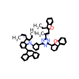 C=Cc1c(/C=C(\C)c2nc(C3=CC(n4c(C=C)c(/C=C\C)c5cccc(-c6cc7ccccc7c7ccccc67)c54)CC=C3)nc(C3=c4oc5ccccc5c4=CCC3)n2)oc2ccccc12